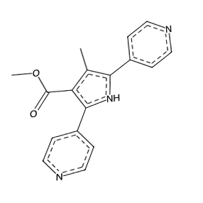 COC(=O)c1c(-c2ccncc2)[nH]c(-c2ccncc2)c1C